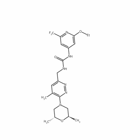 CCOc1cc(NC(=O)NCc2cc(C)c(N3C[C@@H](C)O[C@H](C)C3)nn2)cc(C(F)(F)F)n1